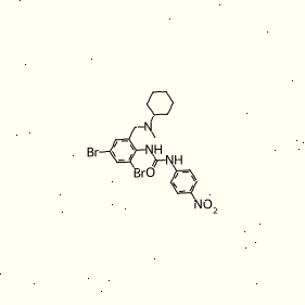 CN(Cc1cc(Br)cc(Br)c1NC(=O)Nc1ccc([N+](=O)[O-])cc1)C1CCCCC1